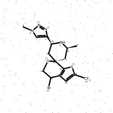 C[C@H]1C[C@@]2(C[C@@H](c3cn(C)nn3)N1)OCC(Br)c1cc(C(F)(F)F)sc12